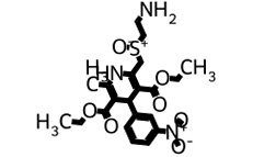 CCOC(=O)C1=C(C)NC(C[S+]([O-])CCN)=C(C(=O)OCC)C1c1cccc([N+](=O)[O-])c1